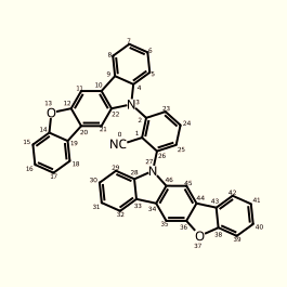 N#Cc1c(-n2c3ccccc3c3cc4oc5ccccc5c4cc32)cccc1-n1c2ccccc2c2cc3oc4ccccc4c3cc21